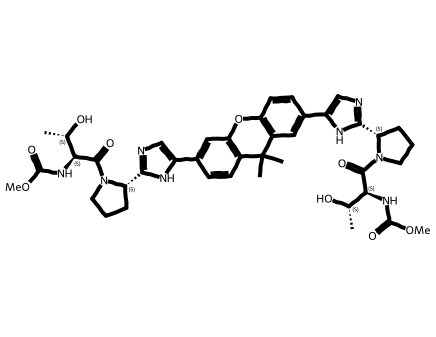 COC(=O)N[C@H](C(=O)N1CCC[C@H]1c1ncc(-c2ccc3c(c2)Oc2ccc(-c4cnc([C@@H]5CCCN5C(=O)[C@@H](NC(=O)OC)[C@H](C)O)[nH]4)cc2C3(C)C)[nH]1)[C@H](C)O